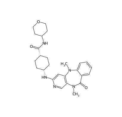 CN1C(=O)c2ccccc2N(C)c2cc(N[C@H]3CC[C@@H](C(=O)NC4CCOCC4)CC3)ncc21